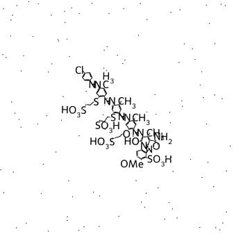 COc1ccc2c(nc3c(C(N)=O)c(C)c(N=Nc4cc(C)c(N=Nc5cc(C)c(N=Nc6cc(C)c(N=Nc7ccc(Cl)cc7)cc6SCCCS(=O)(=O)O)cc5SCCCS(=O)(=O)O)cc4OCCCS(=O)(=O)O)c(O)n32)c1S(=O)(=O)O